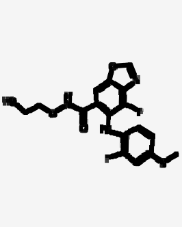 CSc1ccc(Nc2c(C(=O)NOCCO)cc3ocnc3c2F)c(F)c1